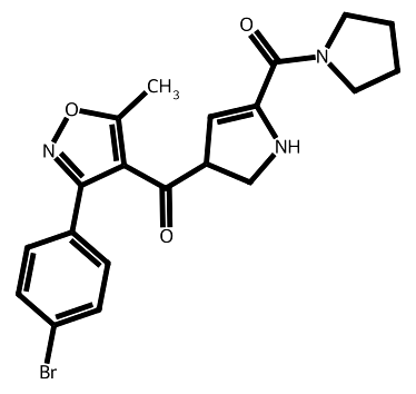 Cc1onc(-c2ccc(Br)cc2)c1C(=O)C1C=C(C(=O)N2CCCC2)NC1